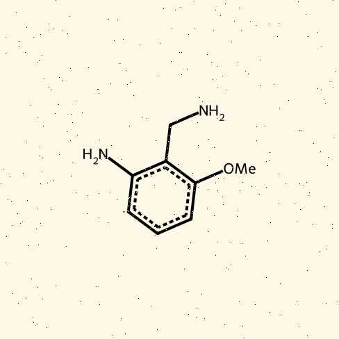 COc1cc[c]c(N)c1CN